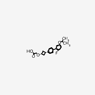 CC(C)Oc1ccc(F)c(-c2ccc([C@H]3C[C@@H](OCC(=O)O)C3)cc2)c1